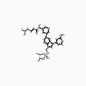 CCOP(=O)(OCC)OCn1cc(-c2ccnc(OC)c2)c2cc(-c3cncc(N(C)C(=O)C=CCN(C)C)c3)cnc21